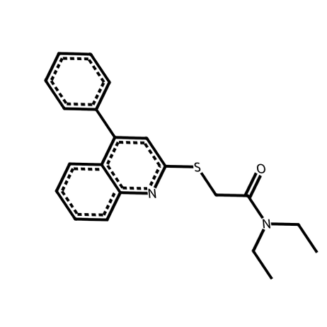 CCN(CC)C(=O)CSc1cc(-c2ccccc2)c2ccccc2n1